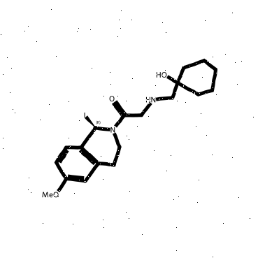 COc1ccc2c(c1)CCN(C(=O)CNCC1(O)CCCCC1)[C@@H]2I